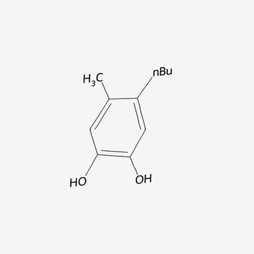 CCCCc1cc(O)c(O)cc1C